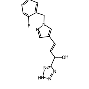 OC(C=Cc1cnn(Cc2ccccc2F)c1)c1nn[nH]n1